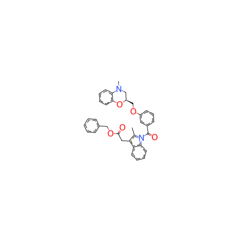 Cc1c(CC(=O)OCc2ccccc2)c2ccccc2n1C(=O)c1cccc(OC[C@@H]2CN(C)c3ccccc3O2)c1